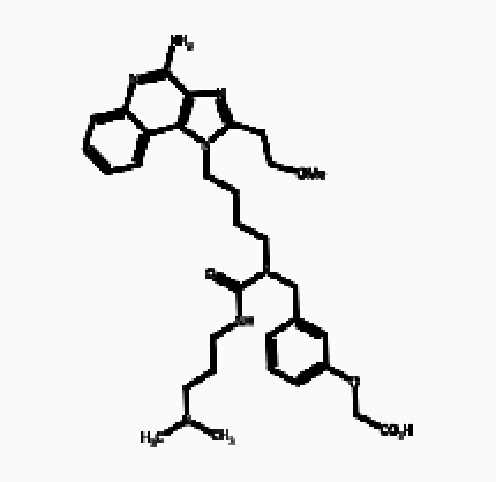 COCCc1nc2c(N)nc3ccccc3c2n1CCCCN(Cc1cccc(OCC(=O)O)c1)C(=O)NCCCN(C)C